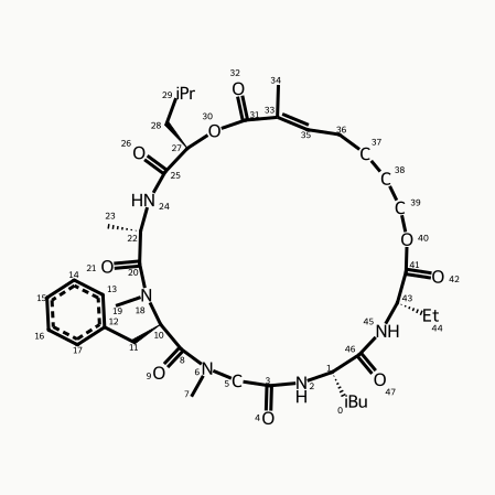 CCC(C)[C@@H]1NC(=O)CN(C)C(=O)[C@@H](Cc2ccccc2)N(C)C(=O)[C@H](C)NC(=O)[C@@H](CC(C)C)OC(=O)/C(C)=C/CCCCOC(=O)[C@H](CC)NC1=O